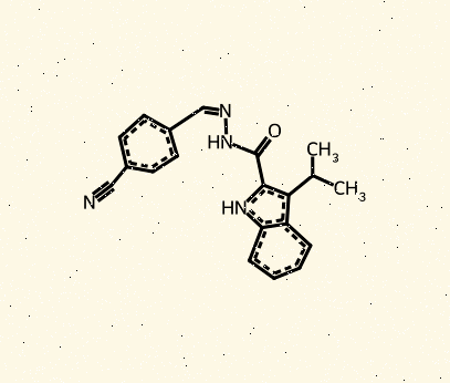 CC(C)c1c(C(=O)N/N=C\c2ccc(C#N)cc2)[nH]c2ccccc12